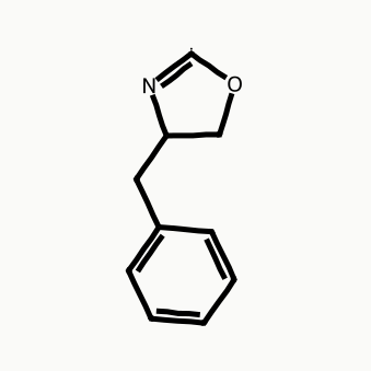 [C]1=NC(Cc2ccccc2)CO1